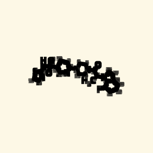 C[C@@H](C(=O)N1CCN(c2ccc(S(=O)(=O)Nc3nccs3)cn2)CC1)n1ccc2cccc(F)c21